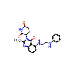 Cc1nc2cccc(NCCNc3ccccc3)c2c(=O)n1C1CCC(=O)NC1=O